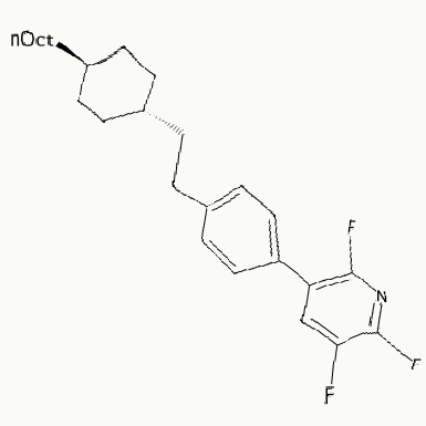 CCCCCCCC[C@H]1CC[C@H](CCc2ccc(-c3cc(F)c(F)nc3F)cc2)CC1